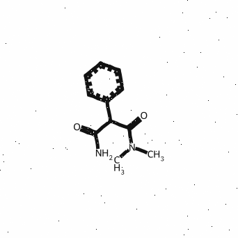 CN(C)C(=O)C(C(N)=O)c1ccccc1